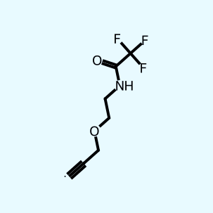 [C]#CCOCCNC(=O)C(F)(F)F